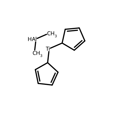 C1=C[CH]([Ti][CH]2C=CC=C2)C=C1.[CH3][AlH][CH3]